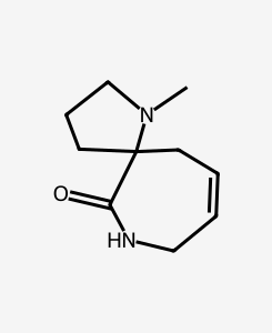 CN1CCCC12CC=CCNC2=O